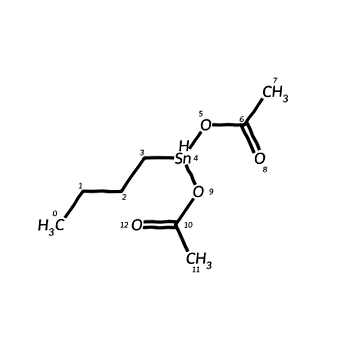 CCC[CH2][SnH]([O]C(C)=O)[O]C(C)=O